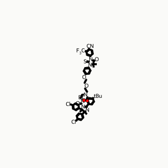 CCOc1cc(C(C)(C)C)ccc1C1=NC(C)(c2ccc(Cl)cc2)C(C)(c2ccc(Cl)cc2)N1C(=O)N1CCN(CCOCCOc2ccc(N3C(=S)N(c4ccc(C#N)c(C(F)(F)F)c4)C(=O)C3(C)C)cc2)CC1